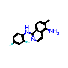 Cc1ccc2c(Nc3ccc(F)cc3F)nccc2c1N